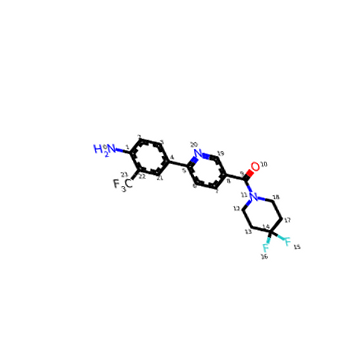 Nc1ccc(-c2ccc(C(=O)N3CCC(F)(F)CC3)cn2)cc1C(F)(F)F